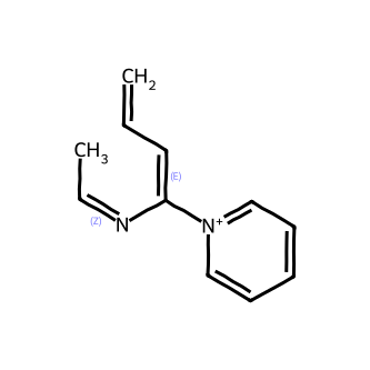 C=C/C=C(\N=C/C)[n+]1ccccc1